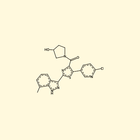 Cc1cccc2c(-c3nc(C(=O)N4CCC(O)C4)c(-c4ccc(Cl)nc4)s3)n[nH]c12